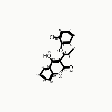 CCC(Oc1ccccc1Cl)c1c(O)c2ccccc2oc1=O